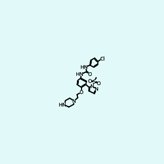 CS(=O)(=O)n1nccc1-c1cc(NC(=O)Nc2ccc(Cl)cc2)ccc1OCCN1CCNCC1